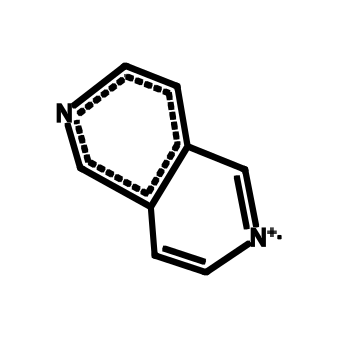 C1=Cc2cnccc2C=[N+]1